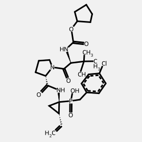 C=C[C@@H]1C[C@]1(NC(=O)[C@@H]1CCCN1C(=O)[C@@H](NC(=O)OC1CCCC1)C(C)(C)C)P(=O)(O)Cc1ccc(Cl)cc1